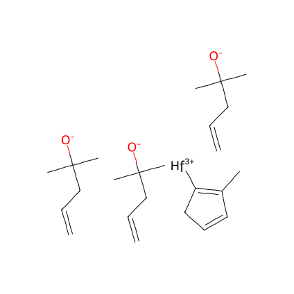 C=CCC(C)(C)[O-].C=CCC(C)(C)[O-].C=CCC(C)(C)[O-].CC1=[C]([Hf+3])CC=C1